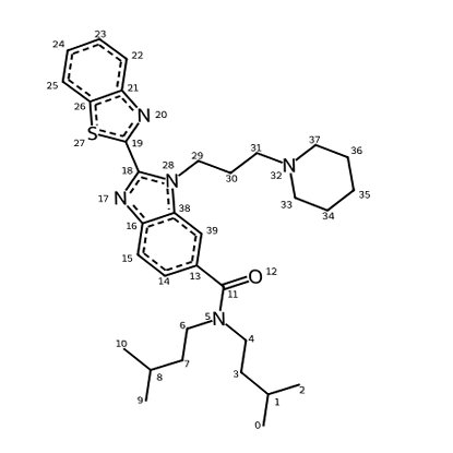 CC(C)CCN(CCC(C)C)C(=O)c1ccc2nc(-c3nc4ccccc4s3)n(CCCN3CCCCC3)c2c1